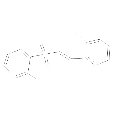 O=S(=O)(/C=C/c1ncccc1F)c1ccccc1F